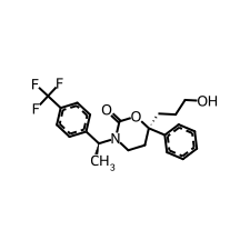 C[C@@H](c1ccc(C(F)(F)F)cc1)N1CC[C@](CCCO)(c2ccccc2)OC1=O